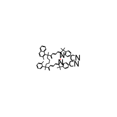 C=C(C=CC=C1N(C)c2cc(C#N)ccc2C1(C)C)C(C)(CCCCC(C)(C(=C)C=CC=C1N(C)c2cc(C#N)ccc2C1(C)C)c1c(C)ccc2ccccc12)c1ccccc1C